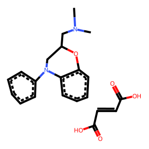 CN(C)CC1CN(c2ccccc2)c2ccccc2O1.O=C(O)/C=C/C(=O)O